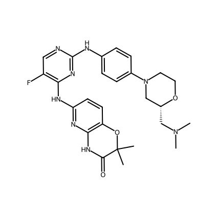 CN(C)C[C@@H]1CN(c2ccc(Nc3ncc(F)c(Nc4ccc5c(n4)NC(=O)C(C)(C)O5)n3)cc2)CCO1